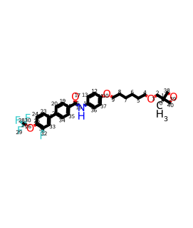 CC1(COCCCCCCOc2ccc(NC(=O)c3ccc(-c4ccc(OC(F)(F)F)c(F)c4)cc3)cc2)COC1